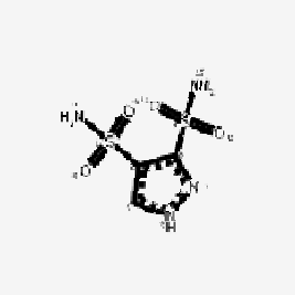 NS(=O)(=O)c1c[nH]nc1S(N)(=O)=O